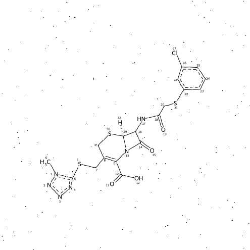 Cn1nnnc1SCC1=C(C(=O)O)N2C(=O)C(NC(=O)CSc3cccc(Cl)c3)[C@@H]2SC1